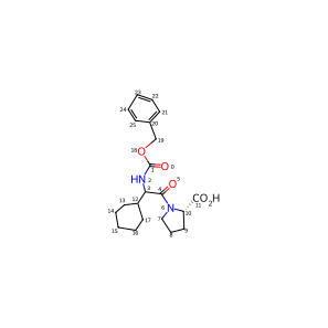 O=C(NC(C(=O)N1CCC[C@H]1C(=O)O)C1CCCCC1)OCc1ccccc1